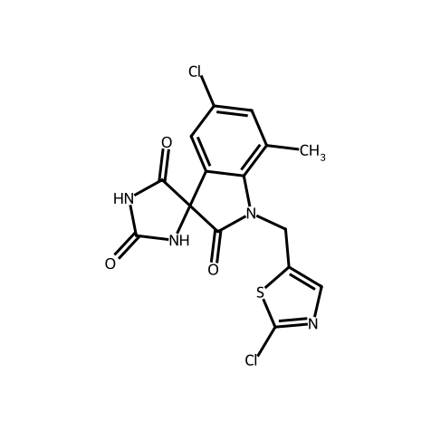 Cc1cc(Cl)cc2c1N(Cc1cnc(Cl)s1)C(=O)C21NC(=O)NC1=O